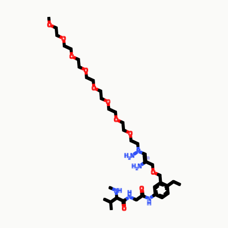 CCc1ccc(NC(=O)CNC(=O)C(NC)C(C)C)cc1COC/C(N)=C/N(N)CCOCCOCCOCCOCCOCCOCCOCCOC